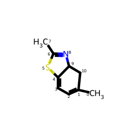 CC1=CC=C2SC(C)=NC2C1